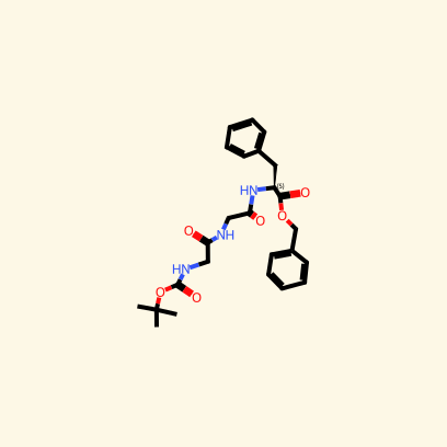 CC(C)(C)OC(=O)NCC(=O)NCC(=O)N[C@@H](Cc1ccccc1)C(=O)OCc1ccccc1